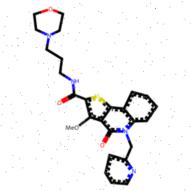 COc1c(C(=O)NCCCN2CCOCC2)sc2c1c(=O)n(Cc1ccccn1)c1ccccc21